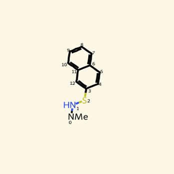 CNNSc1ccc2ccccc2c1